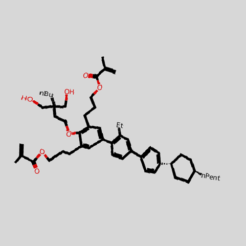 C=C(C)C(=O)OCCCc1cc(-c2ccc(-c3ccc([C@H]4CC[C@H](CCCCC)CC4)cc3)cc2CC)cc(CCCOC(=O)C(=C)C)c1OCCC(CO)(CO)CCCC